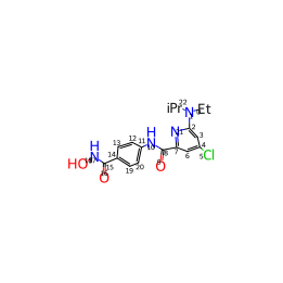 CCN(c1cc(Cl)cc(C(=O)Nc2ccc(C(=O)NO)cc2)n1)C(C)C